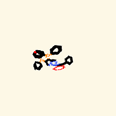 O=C(c1ccccc1)N1CC(P(c2ccccc2)c2ccccc2)C(P(c2ccccc2)c2ccccc2)C1